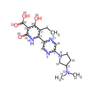 CCc1c(-c2cnc(N3CCC(N(C)C)C3)cn2)[nH]c(=O)c(C(=O)O)c1O